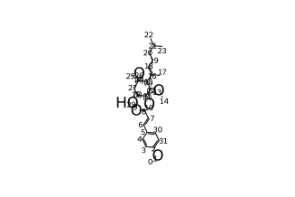 COc1ccc(C=CC(=O)O[C@H]2[C@@H](OC)[C@H](C(C)=CCCC(C)C)[C@@]3(CO3)C[C@@H]2O)cc1